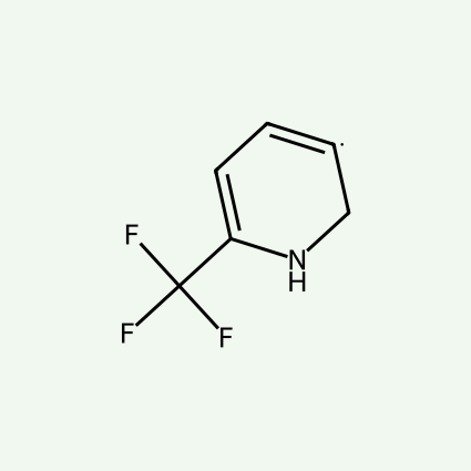 FC(F)(F)C1=CC=[C]CN1